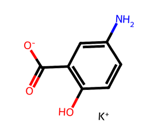 Nc1ccc(O)c(C(=O)[O-])c1.[K+]